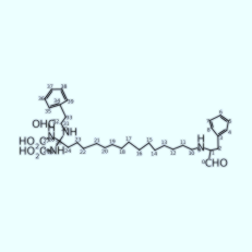 O=CC(Cc1ccccc1)NCCCCCCCCCCCCCCCC(NC(=O)O)(NC(=O)O)N[C@H](C=O)Cc1ccccc1